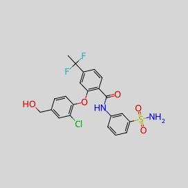 CC(F)(F)c1ccc(C(=O)Nc2cccc(S(N)(=O)=O)c2)c(Oc2ccc(CO)cc2Cl)c1